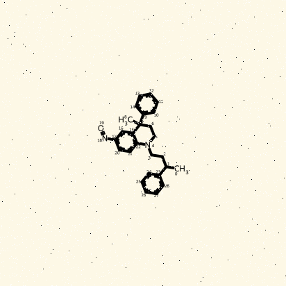 CC(CCN1CCC(C)(c2ccccc2)c2cc(N=O)ccc21)c1ccccc1